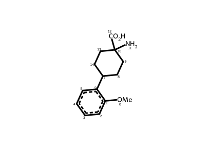 COc1ccccc1C1CCC(N)(C(=O)O)CC1